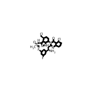 CS(=O)(=O)Nc1n[nH]c2c(-n3c(C[C@@H](N)c4cc(F)cc(F)c4)nc4cccc(Cl)c4c3=O)ccc(CCl)c12